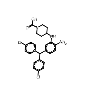 Nc1ccc(C(c2ccc(Cl)cc2)c2ccc(Cl)cc2)cc1NC1CCN(C(=O)O)CC1